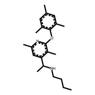 CCCCNC(C)c1cc(C)nc(Oc2c(C)cc(C)cc2C)c1C